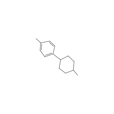 Cc1ccc(C2CCC(C)CC2)cc1